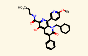 CCOc1ccc(-c2nc(C(=O)NCCC(=O)O)c(O)c3cc(-c4ccccc4)c(=O)n(CC4CCCCC4)c23)cn1